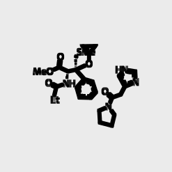 CCC(=O)N[C@H](C(=O)OC)[C@@](CSC)(OC1CC1)c1ccccc1.O=C(Cc1c[nH]cn1)N1CCCC1